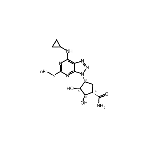 CCCSc1nc(NC2CC2)c2nnn([C@@H]3C[C@H](C(N)=O)[C@@H](O)[C@H]3O)c2n1